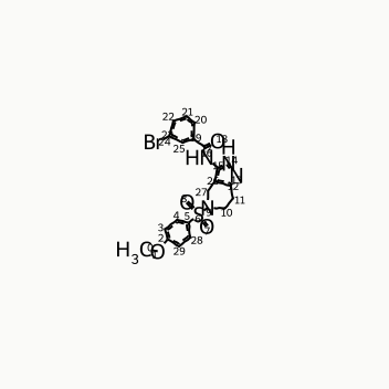 COc1ccc(S(=O)(=O)N2CCc3n[nH]c(NC(=O)c4cccc(Br)c4)c3C2)cc1